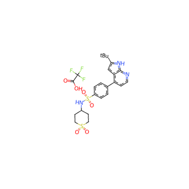 CC(C)(C)c1cc2c(-c3ccc(S(=O)(=O)NC4CCS(=O)(=O)CC4)cc3)ccnc2[nH]1.O=C(O)C(F)(F)F